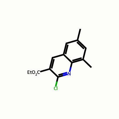 CCOC(=O)c1cc2cc(C)cc(C)c2nc1Cl